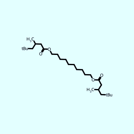 CC(CC(=O)OCCCCCCCCCCOC(=O)CC(C)CC(C)(C)C)CC(C)(C)C